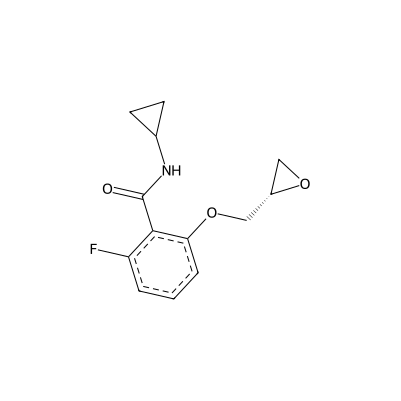 O=C(NC1CC1)c1c(F)cccc1OC[C@@H]1CO1